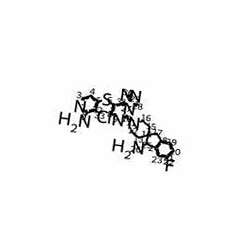 Nc1nccc(Sc2cnc(N3CCC4(CC3)Cc3ccc(F)cc3C4N)n3cnnc23)c1Cl